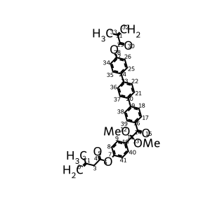 C=C(C)CC(=O)Oc1ccc(C(OC)(OC)C(=O)c2ccc(-c3ccc(-c4ccc(OC(=O)C(=C)C)cc4)cc3)cc2)cc1